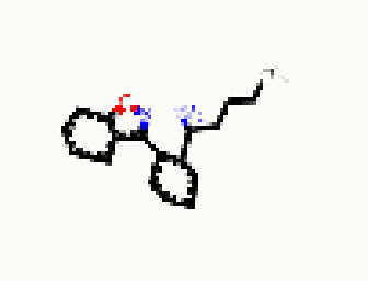 NC(CCCC(F)(F)F)c1ccccc1-c1noc2ccccc12